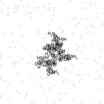 Nc1ccn([C@@H]2O[C@H](CO)C(OP(=O)(O)OC[C@H]3O[C@@H](n4cnc5c(=O)[nH]c(N)nc54)[C@@H](O)C3OP(=O)(O)OC[C@H]3O[C@@H](n4ccc(=O)[nH]c4=O)[C@@H](O)C3OP(=O)(O)OC[C@H]3O[C@@H](n4cnc5c(N)ncnc54)[C@@H](O)C3OP(=O)(O)OC[C@H]3O[C@@H](n4ccc(N)nc4=O)[C@@H](O)C3OP(=O)(O)OC[C@H]3O[C@@H](n4cnc5c(=O)[nH]c(N)nc54)[C@@H](O)C3OP(=O)(O)OC[C@H]3O[C@@H](n4ccc(=O)[nH]c4=O)[C@@H](O)C3O)[C@@H]2O)c(=O)n1